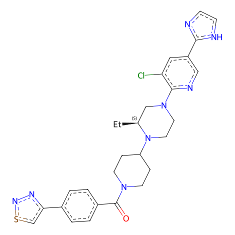 CC[C@H]1CN(c2ncc(-c3ncc[nH]3)cc2Cl)CCN1C1CCN(C(=O)c2ccc(-c3csnn3)cc2)CC1